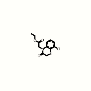 CCOC(=O)CN1C(=O)CSc2c(Cl)cccc21